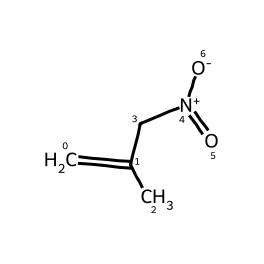 C=C(C)C[N+](=O)[O-]